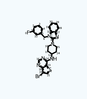 Fc1cccc(Cn2c(N3CCC(Nc4ncnc5c(Br)csc45)CC3)nc3ccccc32)c1